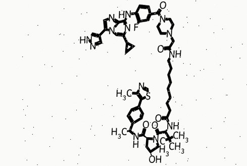 Cc1ncsc1-c1ccc([C@H](C)NC(=O)[C@@H]2C[C@@H](O)CN2C(=O)[C@@H](NC(=O)CCCCCCCCNC(=O)CN2CCN(C(=O)c3ccc(Nc4nc(C5CC5)cn5c(-c6cn[nH]c6)cnc45)c(F)c3)CC2)C(C)(C)C)cc1